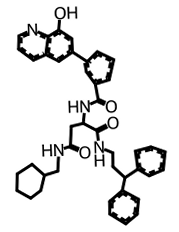 O=C(CC(NC(=O)c1cccc(-c2cc(O)c3ncccc3c2)c1)C(=O)NCCC(c1ccccc1)c1ccccc1)NCC1CCCCC1